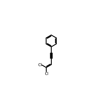 ClC(Cl)=CC#Cc1ccccc1